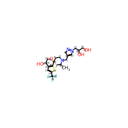 C[C@H]1C[C@@]2(CCN1Cc1cnn(C[C@H](O)CO)c1)OC[C@@H](O)c1cc(C(F)(F)F)sc12